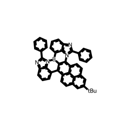 CC(C)(C)c1cc2ccc3c4c5c(c6ccc(c1)c2c36)-n1c(-c2ccccc2)nc2cccc(c21)B5n1c(-c2ccccc2)nc2cccc-4c21